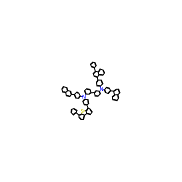 c1ccc(-c2ccc(-c3ccc(N(c4ccc(-c5cccc6ccccc56)cc4)c4cccc(-c5cccc(N(c6ccc(-c7ccc8ccccc8c7)cc6)c6ccc(-c7cccc8c7sc7c(-c9ccccc9)cccc78)cc6)c5)c4)cc3)c3ccccc23)cc1